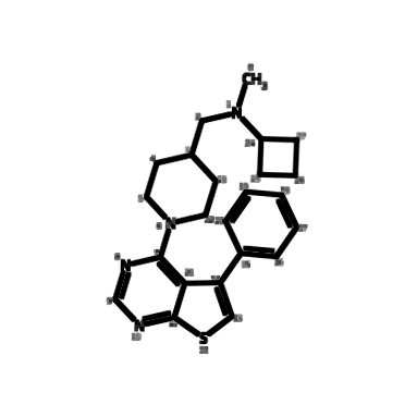 CN(CC1CCN(c2ncnc3scc(-c4ccccc4)c23)CC1)C1CCC1